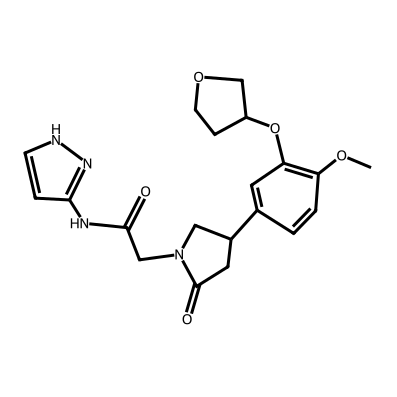 COc1ccc(C2CC(=O)N(CC(=O)Nc3cc[nH]n3)C2)cc1OC1CCOC1